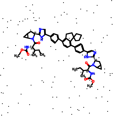 CCC(C)[C@H](NC(=O)OC)C(=O)N1C2CC2C[C@H]1c1ncc(-c2ccc(-c3ccc(-c4ccc(-c5cnc([C@@H]6CC7CC7N6C(=O)[C@@H](NC(=O)OC)C(C)CC)[nH]5)cc4)c4c3CCC43CCCC3)cc2)[nH]1